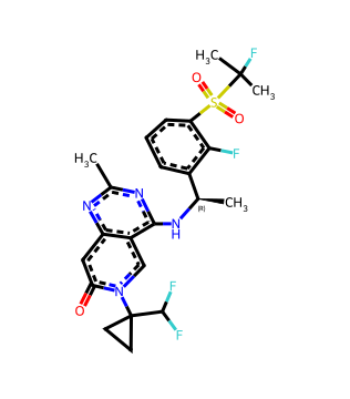 Cc1nc(N[C@H](C)c2cccc(S(=O)(=O)C(C)(C)F)c2F)c2cn(C3(C(F)F)CC3)c(=O)cc2n1